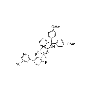 COc1ccc(C(NC2=NC[C@@H](F)[C@@](C)(c3cc(-c4cncc(C#N)c4)ccc3F)O2)(c2ccccc2)c2ccc(OC)cc2)cc1